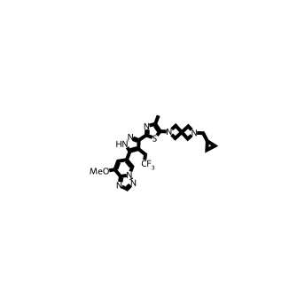 COc1cc(-c2[nH]nc(-c3nc(C)c(N4CC5(CN(CC6CC6)C5)C4)s3)c2CC(F)(F)F)cn2ncnc12